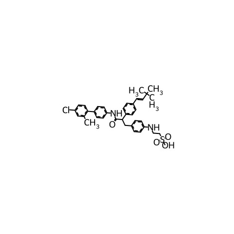 Cc1cc(Cl)ccc1-c1ccc(NC(=O)C(Cc2ccc(NCCS(=O)(=O)O)cc2)c2ccc(C=CC(C)(C)C)cc2)cc1